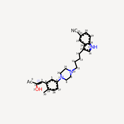 CC(=O)/C(O)=C/c1cc(N2CCN(CCCCc3c[nH]c4ccc(C#N)cc34)CC2)ccc1C